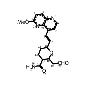 COc1ccc2nccc(C=CC3CCC(C(N)=O)C(CC=O)O3)c2n1